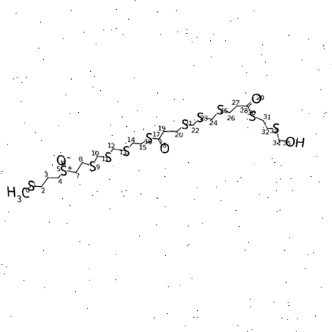 CSCCC[S+]([O-])CCSCSCSCCSC(=O)CCSCSCSCCC(=O)SCCSCO